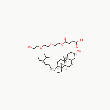 CC[C@H](/C=C/[C@@H](C)[C@H]1CC[C@H]2[C@@H]3CC=C4C[C@@H](O)CC[C@]4(C)[C@H]3CC[C@]12C)C(C)C.O=C(O)CCC(=O)OCCOCCOCCO